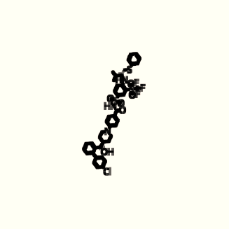 CC(C)[C@H](CSc1ccccc1)Nc1ccc(S(=O)(=O)NC(=O)c2ccc(N3CCC([C@@H](O)c4ccccc4-c4ccc(Cl)cc4)CC3)cc2)cc1S(=O)(=O)C(F)(F)F